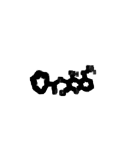 COc1cccc2oc(=O)c(OC(=O)c3ccccc3)c(O)c12